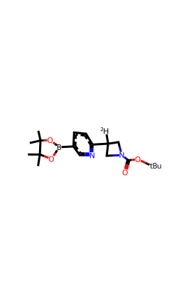 [2H]C1(c2ccc(B3OC(C)(C)C(C)(C)O3)cn2)CN(C(=O)OC(C)(C)C)C1